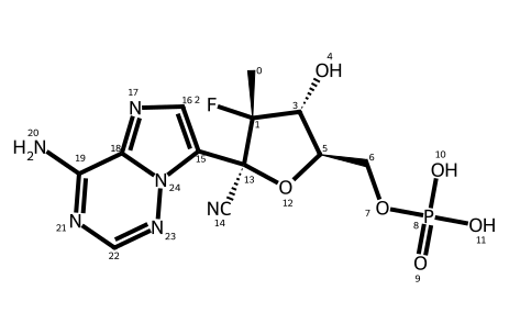 C[C@@]1(F)[C@H](O)[C@@H](COP(=O)(O)O)O[C@@]1(C#N)c1cnc2c(N)ncnn12